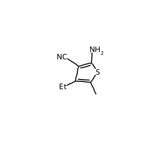 CCc1c(C)sc(N)c1C#N